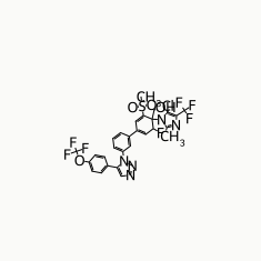 Cc1nc(C(F)(F)F)c(Cl)n1C1(CO)C(S(C)(=O)=O)=CC(c2cccc(-n3nncc3-c3ccc(OC(F)(F)F)cc3)c2)=CC1F